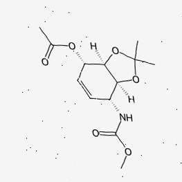 COC(=O)N[C@@H]1C=C[C@H](OC(C)=O)[C@H]2OC(C)(C)O[C@H]21